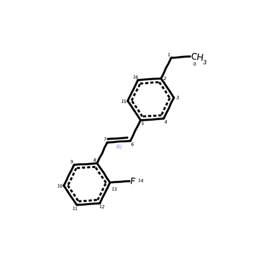 CCc1ccc(/C=C/c2ccccc2F)cc1